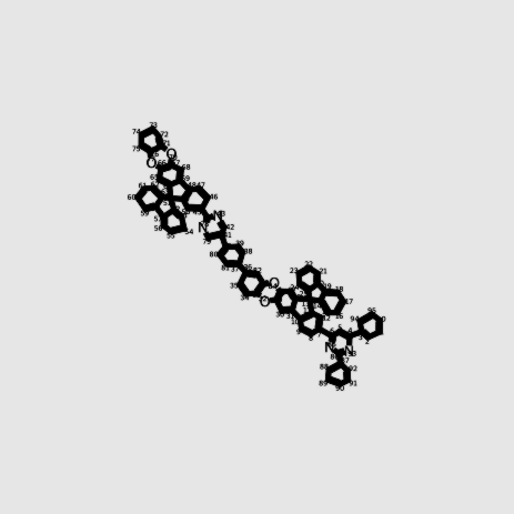 c1ccc(-c2cc(-c3ccc4c(c3)C3(c5ccccc5-c5ccccc53)c3cc5c(cc3-4)Oc3ccc(-c4ccc(-c6cnc(-c7ccc8c(c7)C7(c9ccccc9-c9ccccc97)c7cc9c(cc7-8)Oc7ccccc7O9)nc6)cc4)cc3O5)nc(-c3ccccc3)n2)cc1